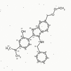 COOCc1ccn2c(NCc3ccccc3)c(-c3ccc(N(C)C)cc3O)nc2c1